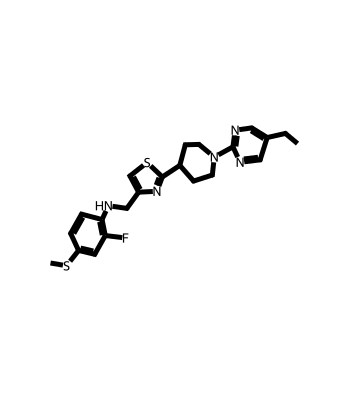 CCc1cnc(N2CCC(c3nc(CNc4ccc(SC)cc4F)cs3)CC2)nc1